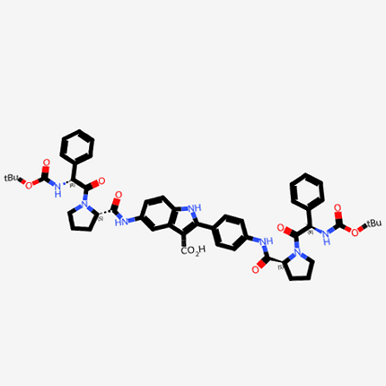 CC(C)(C)OC(=O)N[C@@H](C(=O)N1CCC[C@H]1C(=O)Nc1ccc(-c2[nH]c3ccc(NC(=O)[C@@H]4CCCN4C(=O)[C@H](NC(=O)OC(C)(C)C)c4ccccc4)cc3c2C(=O)O)cc1)c1ccccc1